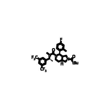 Cc1cc(F)ccc1[C@H]1C2CN(C(=O)C(C)(C)C)C[C@H]2CCN1C(=O)N(C)[C@H](C)c1cc(C(F)(F)F)cc(C(F)(F)F)c1